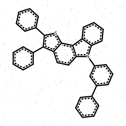 c1ccc(-c2cccc(-n3c4ccccc4c4c5sc(-c6ccccc6)c(-c6ccccc6)c5ccc43)c2)cc1